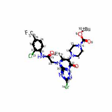 CCc1c(N2CCN(C(=O)OC(C)(C)C)CC2)c(=O)n2nc(Br)nc2n1CC(=O)Nc1ccc(C(F)(F)F)cc1Cl